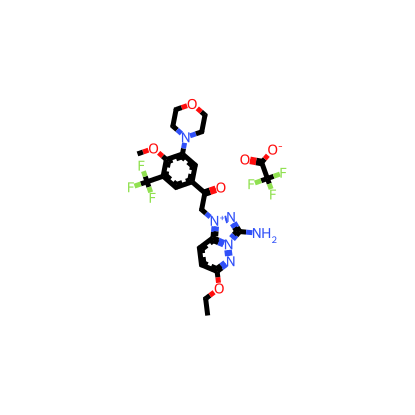 CCOc1ccc2n(n1)c(N)n[n+]2CC(=O)c1cc(N2CCOCC2)c(OC)c(C(F)(F)F)c1.O=C([O-])C(F)(F)F